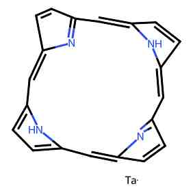 C1=Cc2cc3ccc(cc4nc(cc5ccc(cc1n2)[nH]5)C=C4)[nH]3.[Ta]